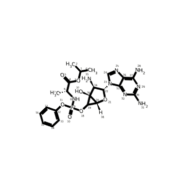 CC(C)OC(=O)[C@@H](C)NP(=O)(Oc1ccccc1)OC1[C@H]2O[C@@H](n3cnc4c(N)nc(N)nc43)[C@H](N)[C@@]12O